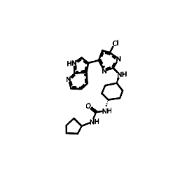 O=C(NC1CCCC1)N[C@H]1CC[C@H](Nc2nc(Cl)cc(-c3c[nH]c4ncccc34)n2)CC1